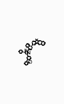 CC1(C)c2ccc(-c3ccc(-c4nc(-c5ccccc5)cc(-c5ccc6oc7ccccc7c6c5)n4)c4ccccc34)cc2-c2cc3ccccc3cc21